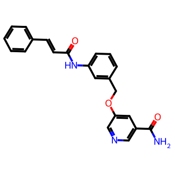 NC(=O)c1cncc(OCc2cccc(NC(=O)C=Cc3ccccc3)c2)c1